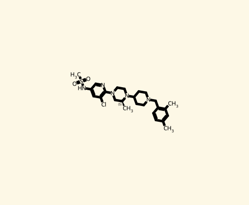 Cc1ccc(CN2CCC(N3CCN(c4ncc(NS(C)(=O)=O)cc4Cl)C[C@@H]3C)CC2)c(C)c1